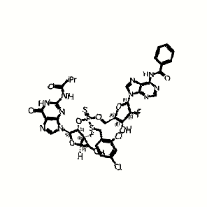 CC(C)C(=O)Nc1nc2c(ncn2[C@@H]2O[C@@H]3C(O)[C@]3(F)[C@H]2OP(=S)(OC[C@H]2O[C@@H](n3cnc4c(NC(=O)c5ccccc5)ncnc43)[C@@H](F)[C@@H]2O)SCc2ccc(Cl)cc2Cl)c(=O)[nH]1